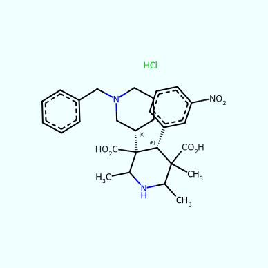 CC1NC(C)C(C(=O)O)([C@H]2CCCN(Cc3ccccc3)C2)[C@H](c2cccc([N+](=O)[O-])c2)C1(C)C(=O)O.Cl